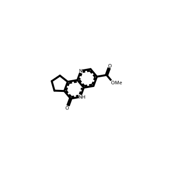 COC(=O)c1cnc2c3c(c(=O)[nH]c2c1)CCC3